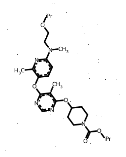 Cc1nc(N(C)CCOC(C)C)ccc1Oc1ncnc(OC2CCN(C(=O)OC(C)C)CC2)c1C